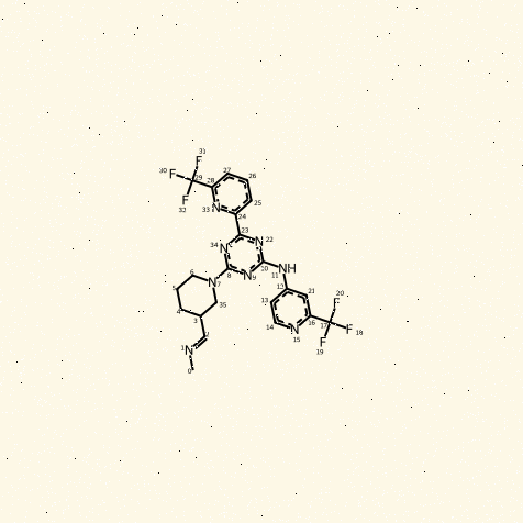 C/N=C/C1CCCN(c2nc(Nc3ccnc(C(F)(F)F)c3)nc(-c3cccc(C(F)(F)F)n3)n2)C1